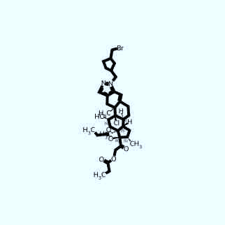 CCC(=O)OCC(=O)[C@@]1(OC(=O)CC)[C@@H](C)C[C@H]2[C@@H]3CCC4=Cc5c(cnn5CC5CCC(CBr)C5)C[C@]4(C)[C@@]3(Cl)[C@@H](O)C[C@@]21C